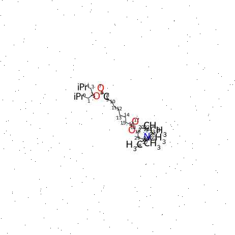 CC(C)CC(CC(C)C)OC(=O)CCCCCCCCC(=O)OC1CC(C)(C)N(C)C(C)(C)C1